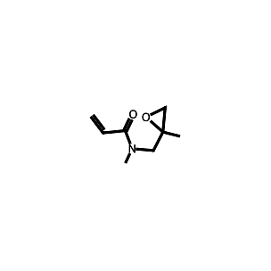 C=CC(=O)N(C)CC1(C)CO1